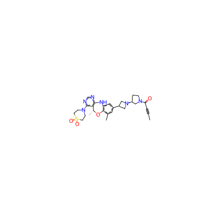 CC#CC(=O)N1CC[C@H](N2CC(c3cc(C)c4c(c3)Nc3ncnc(N5CCS(=O)(=O)CC5)c3[C@@H](C)O4)C2)C1